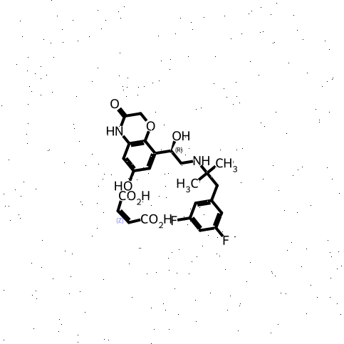 CC(C)(Cc1cc(F)cc(F)c1)NC[C@H](O)c1cc(O)cc2c1OCC(=O)N2.O=C(O)/C=C\C(=O)O